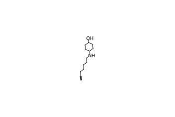 C#CCCCCCN[C@H]1CC[C@@H](O)CC1